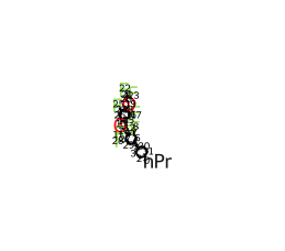 CCCC1CCC(c2cc(F)c(C(F)(F)Oc3cc(F)c(OC=C(F)F)c(F)c3)c(F)c2)CC1